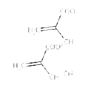 C=C(C)C(=O)[O-].C=C(C)C(=O)[O-].[Cr+2]